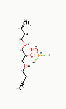 C#CCCOCC(O)COCCC=C.OP(F)F